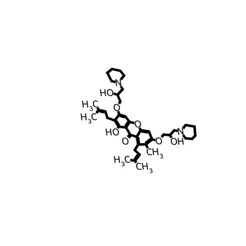 CC(C)=CCc1c(OCC(O)CN2CCCCC2)cc2oc3cc(OCC(O)CN4CCCCC4)c(C)c(CC=C(C)C)c3c(=O)c2c1O